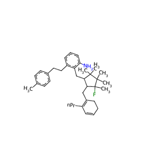 CCCC1=C(CC2C(Cc3c(N)cccc3CCc3ccc(C)cc3)C(C)(C)C(C)(C)C2(C)F)CCC=C1